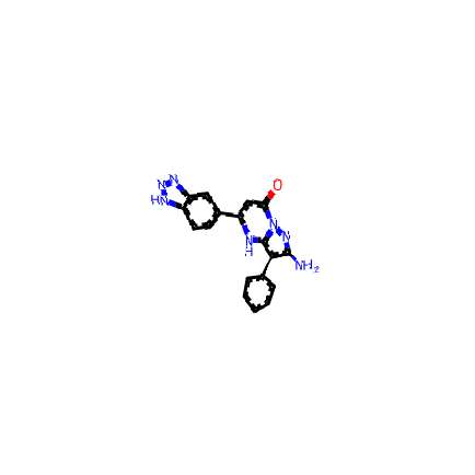 Nc1nn2c(=O)cc(-c3ccc4[nH]nnc4c3)[nH]c2c1-c1ccccc1